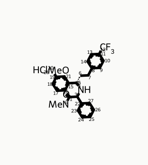 CNC(=O)C(N[C@@H](CCc1ccc(C(F)(F)F)cc1)c1cccc(OC)c1)c1ccccc1.Cl